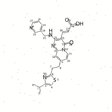 CC(C)c1csc(CCc2ccn3c(=O)c(C=CC(=O)O)c(NCc4cccnc4)nc3c2)n1